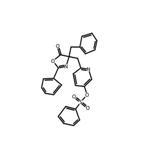 O=C1OC(c2ccccc2)=NC1(Cc1ccccc1)Cc1ccc(OS(=O)(=O)c2ccccc2)cn1